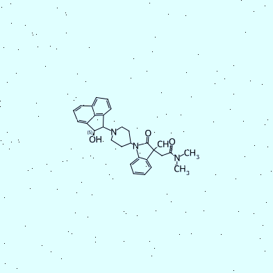 CN(C)C(=O)CC1(C)C(=O)N(C2CCN(C3c4cccc5cccc(c45)[C@@H]3O)CC2)c2ccccc21